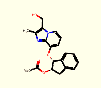 COC(=O)O[C@@H]1Cc2ccccc2[C@H]1Oc1cccn2c(CO)c(C)nc12